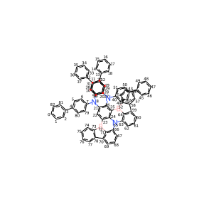 c1ccc(-c2ccc(N(c3ccc(-c4ccccc4)cc3)c3cc4c5c(c3N(c3ccc(-c6ccccc6)cc3)c3ccc(-c6ccccc6)cc3)B3c6ccccc6-c6cccc(c63)N5c3cccc5c3B4c3ccccc3-5)cc2)cc1